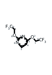 FC(F)(F)COc1ccnc(OCC(F)(F)F)n1